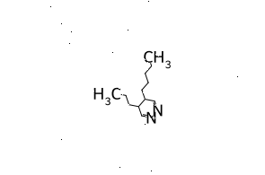 CCCCCC1C=NN=CC1CCC